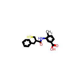 Cc1ccc(C(=O)O)cc1NC(=O)C(CS)Cc1ccccc1